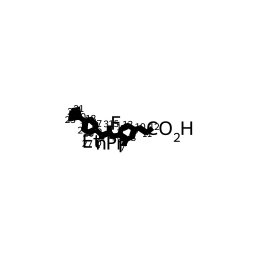 CCC/C(=C(/C)Cc1c(F)cc(/C=C/C(=O)O)cc1F)c1ccc(C23CC(C2)C3)cc1CC